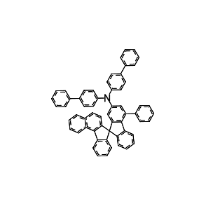 c1ccc(-c2ccc(N(c3ccc(-c4ccccc4)cc3)c3cc(-c4ccccc4)c4c(c3)C3(c5ccccc5-4)c4ccccc4-c4c3ccc3ccccc43)cc2)cc1